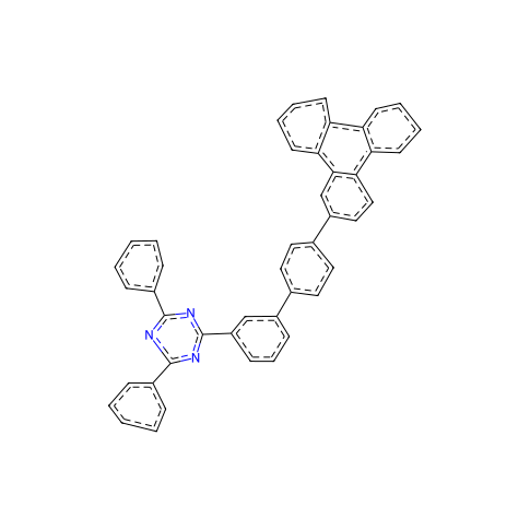 c1ccc(-c2nc(-c3ccccc3)nc(-c3cccc(-c4ccc(-c5ccc6c7ccccc7c7ccccc7c6c5)cc4)c3)n2)cc1